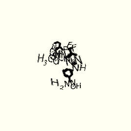 CN(c1ncccc1CNc1nc(Nc2cccc(C(N)=NO)c2)ncc1C(F)(F)F)S(C)(=O)=O